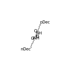 CCCCCCCCCCCCCCCCCC(=O)NCC(=O)CNC(=O)CCCCCCCCCCCCCCCCC